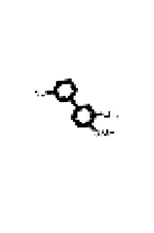 COc1ccc(-c2cccc(C#N)c2)cc1C